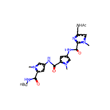 CCCCNC(=O)c1cc(NC(=O)c2cc(NC(=O)c3nc(NC(C)=O)cn3C)cn2C)cn1C